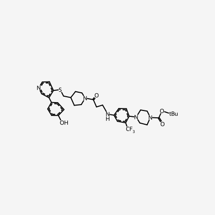 CC(C)(C)OC(=O)N1CCN(c2ccc(NCCC(=O)N3CCC(CSc4ccncc4-c4ccc(O)cc4)CC3)cc2C(F)(F)F)CC1